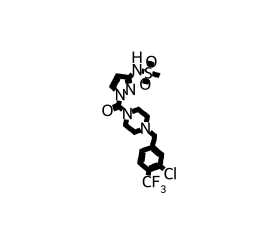 CS(=O)(=O)Nc1ccn(C(=O)N2CCN(Cc3ccc(C(F)(F)F)c(Cl)c3)CC2)n1